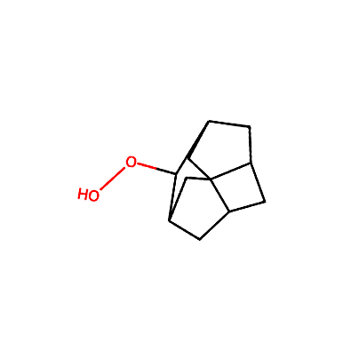 OOC1C2CC3CC4CC1CC34C2